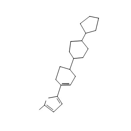 FC(F)(F)c1ccc(C2=CCC(C3CCC(C4CCCC4)CC3)CC2)s1